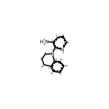 Nc1cccnc1N1CCCc2ccccc21